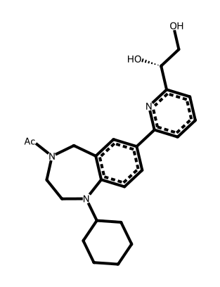 CC(=O)N1CCN(C2CCCCC2)c2ccc(-c3cccc([C@H](O)CO)n3)cc2C1